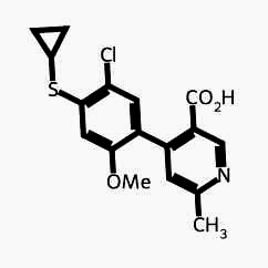 COc1cc(SC2CC2)c(Cl)cc1-c1cc(C)ncc1C(=O)O